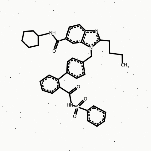 CCCCc1nc2ccc(C(=O)NC3CCCCC3)cc2n1Cc1ccc(-c2ccccc2C(=O)NS(=O)(=O)c2ccccc2)cc1